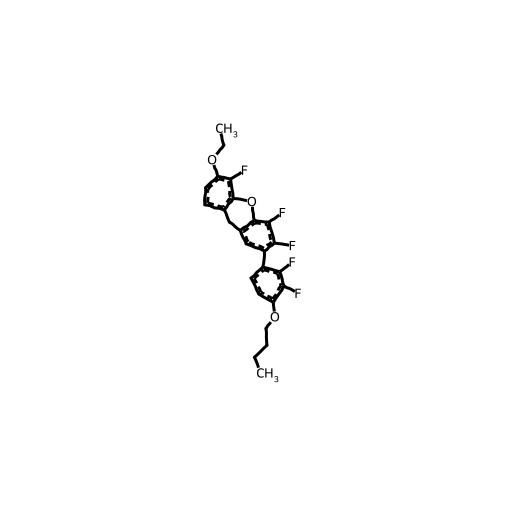 CCCCOc1ccc(-c2cc3c(c(F)c2F)Oc2c(ccc(OCC)c2F)C3)c(F)c1F